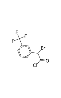 O=C(Cl)C(Br)c1cccc(C(F)(F)F)c1